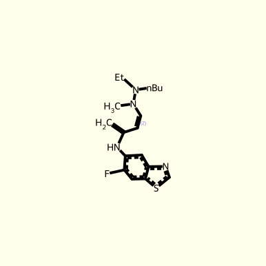 C=C(/C=C\N(C)N(CC)CCCC)Nc1cc2ncsc2cc1F